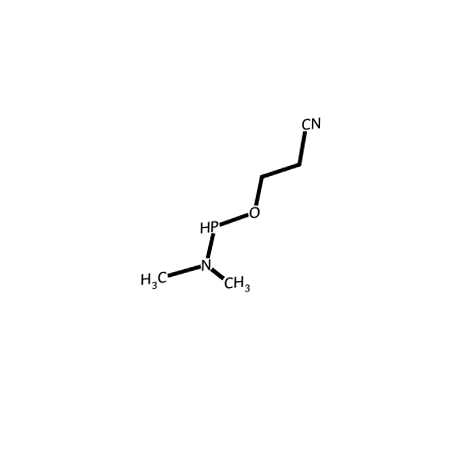 CN(C)POCCC#N